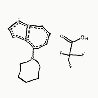 O=C(O)C(F)(F)F.c1cc(N2CCCCC2)c2ccsc2c1